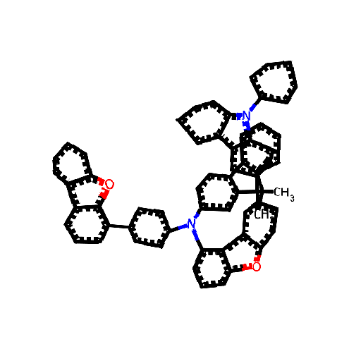 CC1(C)c2ccccc2-c2ccc(N(c3ccc(-c4cccc5c4oc4ccccc45)cc3)c3cccc4oc5ccc(-c6ccc7c(c6)c6ccccc6n7-c6ccccc6)cc5c34)cc21